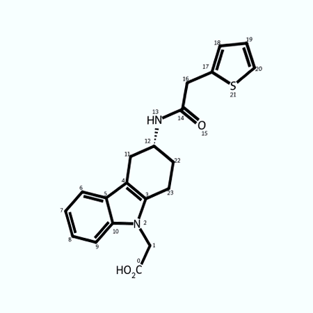 O=C(O)Cn1c2c(c3ccccc31)C[C@H](NC(=O)Cc1cccs1)CC2